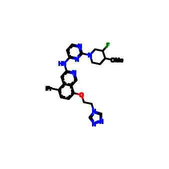 COC1CCN(c2nccc(Nc3cc4c(C(C)C)ccc(OCCn5cnnc5)c4cn3)n2)CC1F